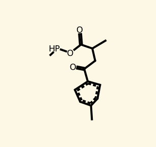 CPOC(=O)C(C)CC(=O)c1ccc(C)cc1